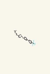 CC(C)CCCC1CCC(CCc2ccc(-c3ccc(C(F)(F)F)cc3)cc2)CC1